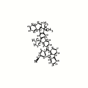 CC1(C)c2cc(N(c3ccc(C#N)cc3)c3cccc4c3oc3ccccc34)ccc2-c2cc3c(cc21)-c1c(ccc2ccccc12)C3(C)C